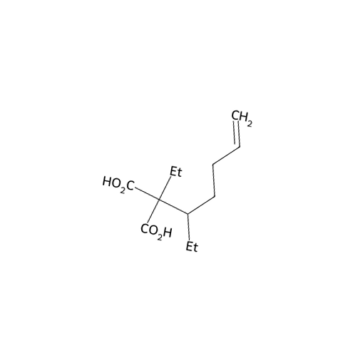 C=CCCC(CC)C(CC)(C(=O)O)C(=O)O